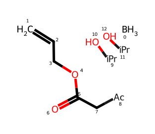 B.C=CCOC(=O)CC(C)=O.CC(C)O.CC(C)O